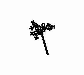 CCCCCCCCCCCCCOC(=O)C(CC(=O)OC(CC(C)(C)C)CC(C)(C)C)C(CC(=O)OC(CC(C)(C)C)CC(C)(C)C)C(=O)OC1CC(C)(C)NC(C)(C)C1